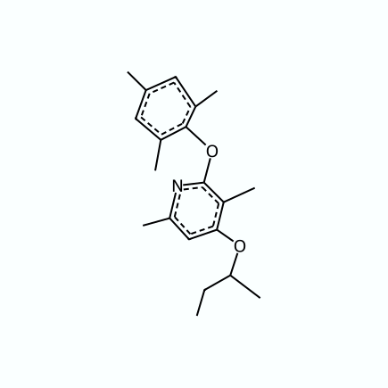 CCC(C)Oc1cc(C)nc(Oc2c(C)cc(C)cc2C)c1C